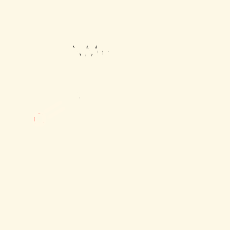 [CH2]NC(=O)C1=CCCCC1